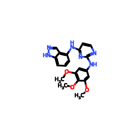 COc1cc(Nc2nccc(Nc3cccc4[nH]ncc34)n2)cc(OC)c1OC